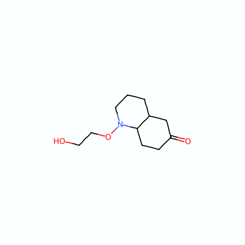 O=C1CCC2C(CCCN2OCCO)C1